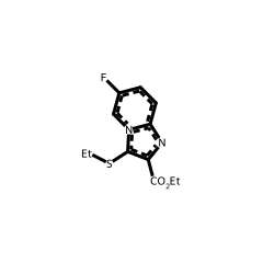 CCOC(=O)c1nc2ccc(F)cn2c1SCC